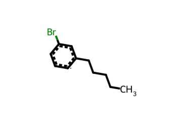 CCCCCc1[c]ccc(Br)c1